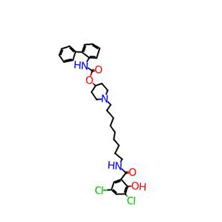 O=C(Nc1ccccc1-c1ccccc1)OC1CCN(CCCCCCCCCNC(=O)c2cc(Cl)cc(Cl)c2O)CC1